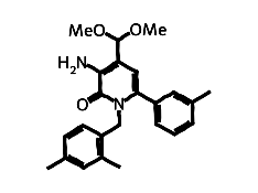 COC(OC)c1cc(-c2cccc(C)c2)n(Cc2ccc(C)cc2C)c(=O)c1N